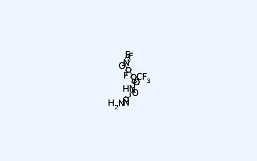 Nc1ccc(/C=C/C(=O)NCc2cc3cc(-c4ccc(C(=O)N5CCC(F)(F)CC5)cc4F)cc(C(F)(F)F)c3o2)cn1